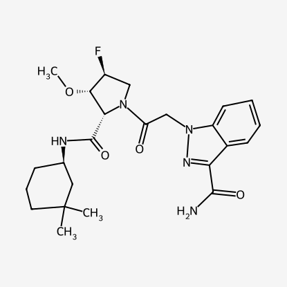 CO[C@H]1[C@@H](C(=O)N[C@@H]2CCCC(C)(C)C2)N(C(=O)Cn2nc(C(N)=O)c3ccccc32)C[C@@H]1F